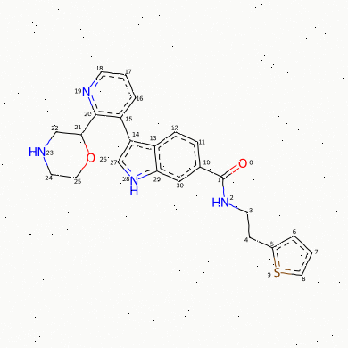 O=C(NCCc1cccs1)c1ccc2c(-c3cccnc3C3CNCCO3)c[nH]c2c1